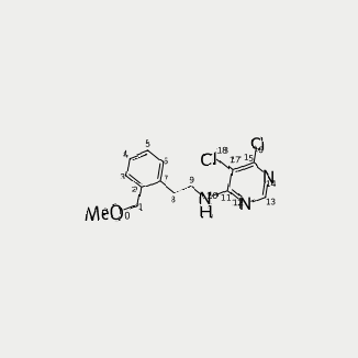 COCc1ccccc1CCNc1ncnc(Cl)c1Cl